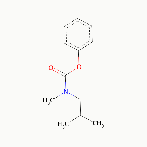 CC(C)CN(C)C(=O)Oc1ccccc1